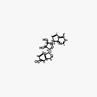 Cc1ncnc2c1ccn2[C@@H]1O[C@H](C2OCc3cc(Cl)ccc32)[C@@H](O)[C@H]1O